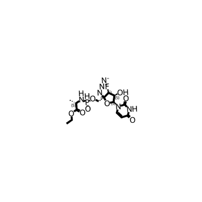 CCOC(=O)[C@H](C)N[PH](=O)OC[C@@]1(N=[N+]=[N-])O[C@H](n2ccc(=O)[nH]c2=O)[C@H](O)[C@@H]1F